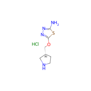 Cl.Nc1nnc(OC[C@@H]2CCNC2)s1